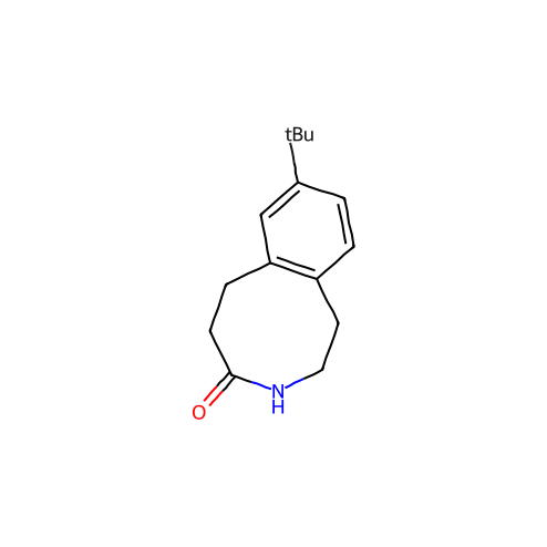 CC(C)(C)c1ccc2c(c1)CCC(=O)NCC2